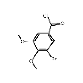 COc1cc(C(=O)Cl)cc(Br)c1OC